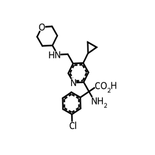 NC(C(=O)O)(c1cccc(Cl)c1)c1cc(C2CC2)c(CNC2CCOCC2)cn1